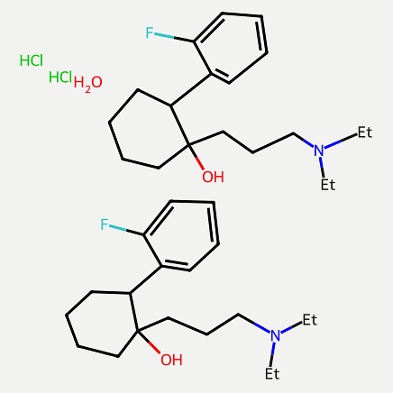 CCN(CC)CCCC1(O)CCCCC1c1ccccc1F.CCN(CC)CCCC1(O)CCCCC1c1ccccc1F.Cl.Cl.O